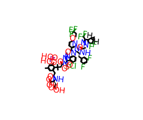 Cc1cc(CC(=O)N[C@@H](CC(=O)O)C(=O)O)c(C(C)(C)CC(=O)N(c2nn(C)c3c(-n4c([C@H](Cc5cc(F)cc(F)c5)NC(=O)Cn5nc(C(F)F)c6c5C(F)(F)[C@@H]5C[C@H]65)nc5nc(OCCC(F)(F)F)ccc5c4=O)ccc(Cl)c23)S(C)(=O)=O)c(OP(=O)(O)O)c1